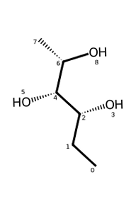 CC[C@@H](O)[C@H](O)[C@H](C)O